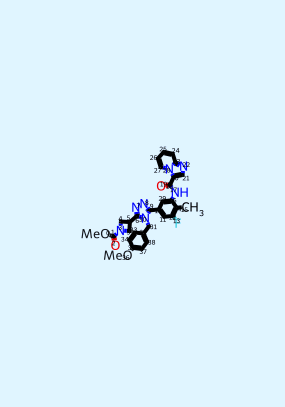 COC(=O)N1CC(c2nnc(-c3cc(F)c(C)c(NC(=O)c4cnc5ccccn45)c3)n2Cc2ccc(OC)cc2)C1